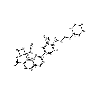 CN(C)c1cnc2ccc(-c3cnc(OCCCN4CCCCC4)c(N)c3)cc2c1C1(C=O)CCC1